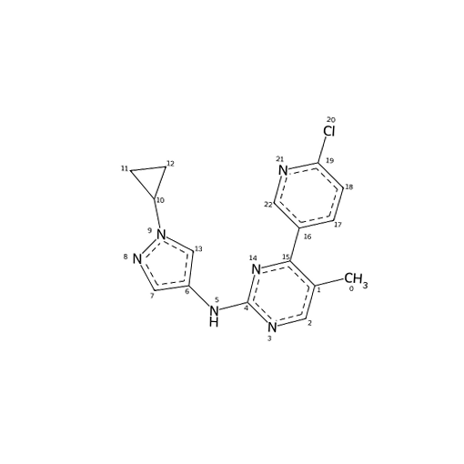 Cc1cnc(Nc2cnn(C3CC3)c2)nc1-c1ccc(Cl)nc1